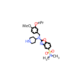 CCCOc1cc(CN(c2nc3cc(S(=O)(=O)N(C)C)ccc3o2)C2CCNCC2)ccc1OC